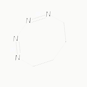 C1CC/N=N\N=N/C1